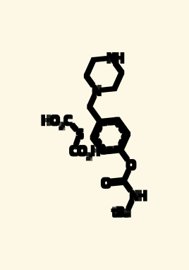 CC(C)(C)NC(=O)Oc1ccc(CN2CCNCC2)cc1.O=C(O)SC(=O)O